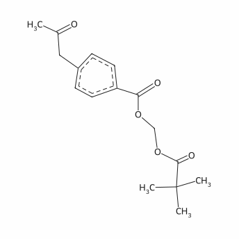 CC(=O)Cc1ccc(C(=O)OCOC(=O)C(C)(C)C)cc1